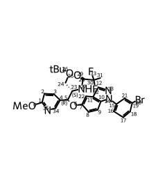 COc1ccc([C@@H](Oc2ccc3c(cnn3-c3cccc(Br)c3)c2)[C@H](COC(C)(C)C)NC(=O)C(C)(F)F)cn1